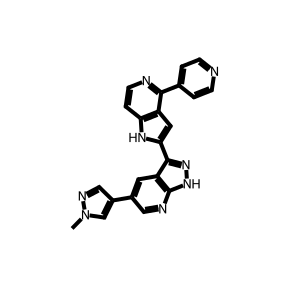 Cn1cc(-c2cnc3[nH]nc(-c4cc5c(-c6ccncc6)nccc5[nH]4)c3c2)cn1